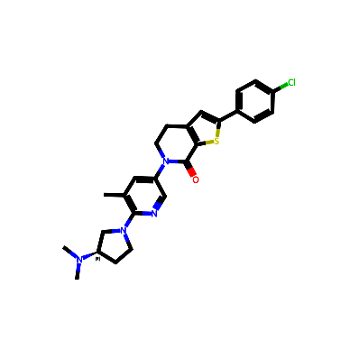 Cc1cc(N2CCc3cc(-c4ccc(Cl)cc4)sc3C2=O)cnc1N1CC[C@@H](N(C)C)C1